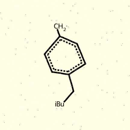 [CH2]c1ccc(CC(C)CC)cc1